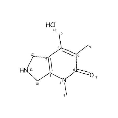 Cc1c2c(n(C)c(=O)c1C)CNC2.Cl